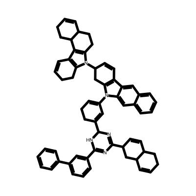 C1=Cc2c3c(n(C4C=Cc5c(n(C6=CCCC(C7N=C(C8C=CC9CCC=CC9C8)N=C(c8cccc(-c9ccccc9)c8)N7)=C6)c6cc7ccccc7cc56)C4)c2CC1)CCC1C=CCCC31